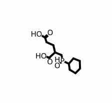 O=C(O)CCC(CP(O)C1CCCCC1)C(=O)O